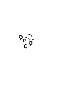 COC(=O)N1CCCCN(C(=O)[C@@H]2CN(c3ccc(=O)n(C)n3)C[C@H]2c2ccc(F)cc2F)CC1c1ccc(Cl)cc1